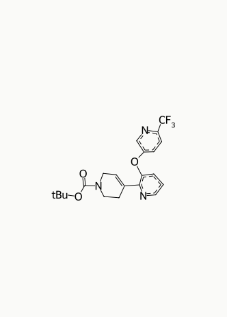 CC(C)(C)OC(=O)N1CC=C(c2ncccc2Oc2ccc(C(F)(F)F)nc2)CC1